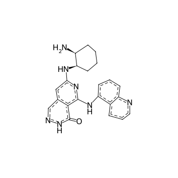 N[C@H]1CCCC[C@H]1Nc1cc2cn[nH]c(=O)c2c(Nc2cccc3ncccc23)n1